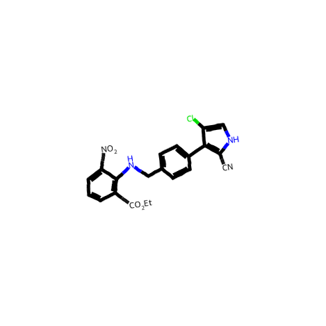 CCOC(=O)c1cccc([N+](=O)[O-])c1NCc1ccc(-c2c(Cl)c[nH]c2C#N)cc1